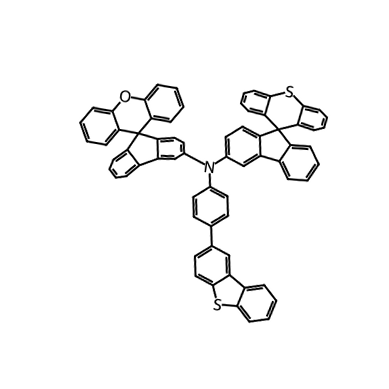 c1ccc2c(c1)Oc1ccccc1C21c2ccccc2-c2cc(N(c3ccc(-c4ccc5sc6ccccc6c5c4)cc3)c3ccc4c(c3)-c3ccccc3C43c4ccccc4Sc4ccccc43)ccc21